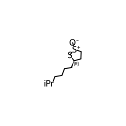 CC(C)CCCC[C@@H]1CC[S+]([O-])S1